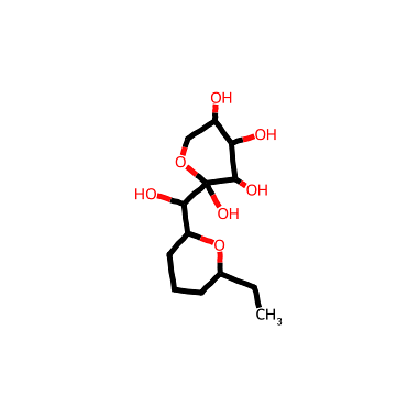 CCC1CCCC(C(O)C2(O)OCC(O)C(O)C2O)O1